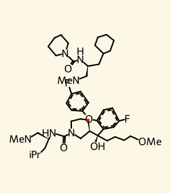 CNC[C@H](CC(C)C)NC(=O)N1CCC[C@@H]([C@@](O)(CCCCOC)c2cc(F)ccc2Oc2ccc(F)cc2)C1.CNC[C@H](CC1CCCCC1)NC(=O)N1CCCCC1